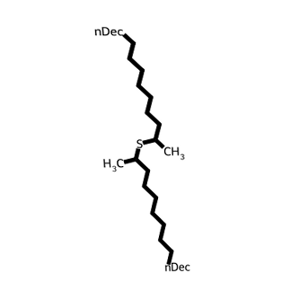 CCCCCCCCCCCCCCCCCC(C)SC(C)CCCCCCCCCCCCCCCCC